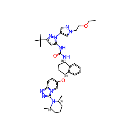 CCOCCn1cc(-n2nc(C(C)(C)C)cc2NC(=O)N[C@H]2CC[C@@H](Oc3ccc4nnc(N5[C@H](C)CCC[C@@H]5C)n4c3)c3ccccc32)cn1